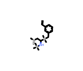 C=Cc1cccc(C[Si](C)(C)C(C[SiH](C)C)N[Si](C)(C)C)c1